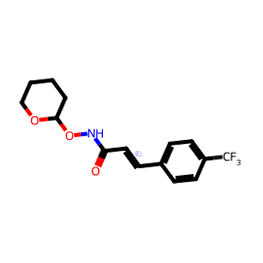 O=C(/C=C/c1ccc(C(F)(F)F)cc1)NOC1CCCCO1